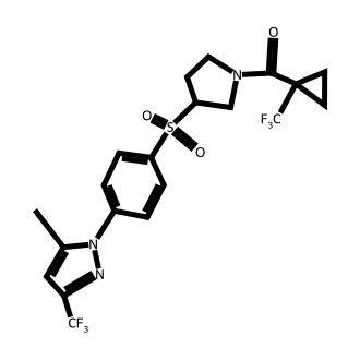 Cc1cc(C(F)(F)F)nn1-c1ccc(S(=O)(=O)C2CCN(C(=O)C3(C(F)(F)F)CC3)C2)cc1